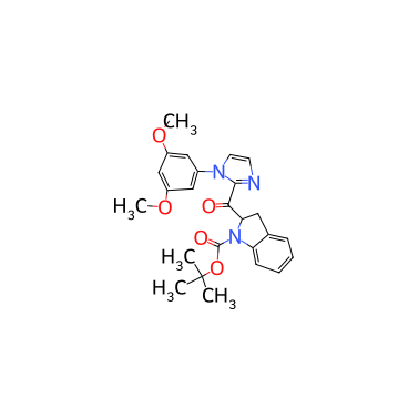 COc1cc(OC)cc(-n2ccnc2C(=O)C2Cc3ccccc3N2C(=O)OC(C)(C)C)c1